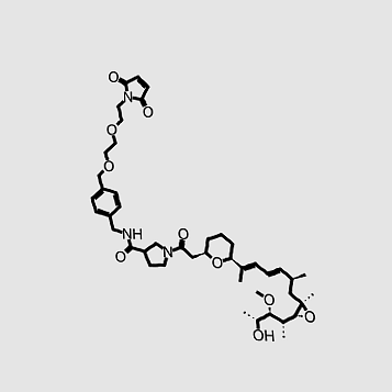 CO[C@H]([C@@H](C)[C@H]1O[C@]1(C)C[C@H](C)/C=C/C=C(\C)[C@@H]1CCC[C@H](CC(=O)N2CCC(C(=O)NCc3ccc(COCCOCCN4C(=O)C=CC4=O)cc3)C2)O1)[C@@H](C)O